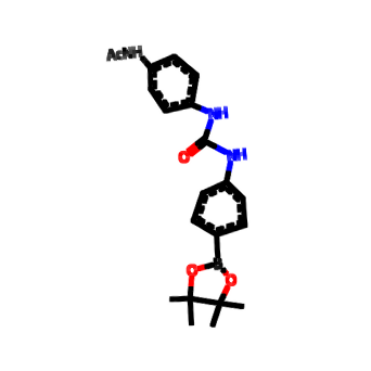 CC(=O)Nc1ccc(NC(=O)Nc2ccc(B3OC(C)(C)C(C)(C)O3)cc2)cc1